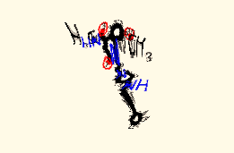 CNC(=O)c1cc(=O)n(CCN2CCC(NCC=Cc3ccccc3)CC2)c2cc(OC)ccc12